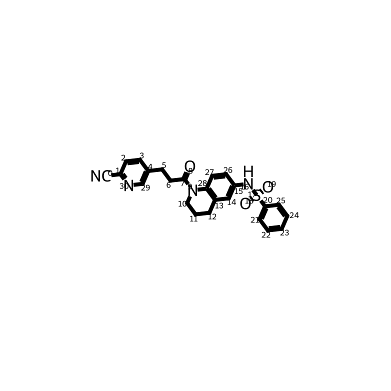 N#Cc1ccc(CCC(=O)N2CCCc3cc(NS(=O)(=O)c4ccccc4)ccc32)cn1